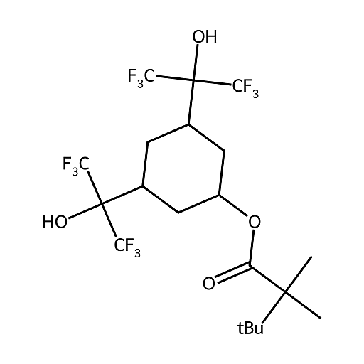 CC(C)(C)C(C)(C)C(=O)OC1CC(C(O)(C(F)(F)F)C(F)(F)F)CC(C(O)(C(F)(F)F)C(F)(F)F)C1